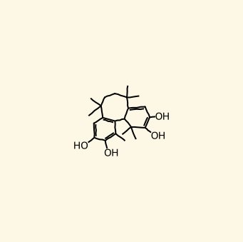 Cc1c(O)c(O)cc2c1C1C(=CC(O)=C(O)C1(C)C)C(C)(C)CCC2(C)C